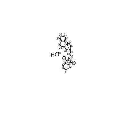 Cl.O=C1C2CC=CCC2C(=O)N1CCCN1CCN2c3ccccc3CCC2C1